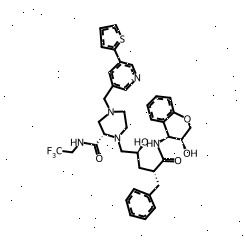 O=C(N[C@H]1c2ccccc2OC[C@H]1O)[C@H](Cc1ccccc1)C[C@H](O)CN1CCN(Cc2cncc(-c3cccs3)c2)C[C@H]1C(=O)NCC(F)(F)F